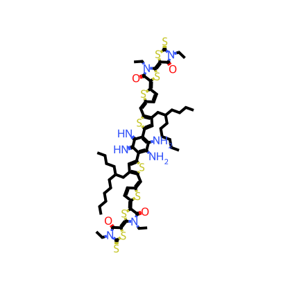 CCCCCCC(CCCC)Cc1cc(C2=C(N)C(N)=C(c3cc(CC(CCCC)CCCCCC)c(/C=c4\cc/c(=c5\s/c(=C6/SC(=S)N(CC)C6=O)n(CC)c5=O)s4)s3)C(=N)C2=N)sc1/C=c1\cc/c(=c2\s/c(=C3/SC(=S)N(CC)C3=O)n(CC)c2=O)s1